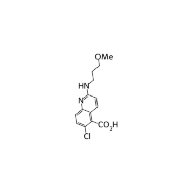 COCCCNc1ccc2c(C(=O)O)c(Cl)ccc2n1